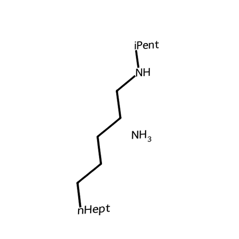 CCCCCCCCCCCCNC(C)CCC.N